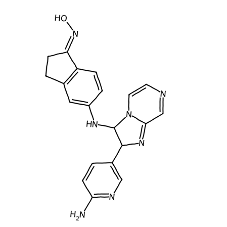 Nc1ccc(C2N=C3C=NC=CN3C2Nc2ccc3c(c2)CC/C3=N\O)cn1